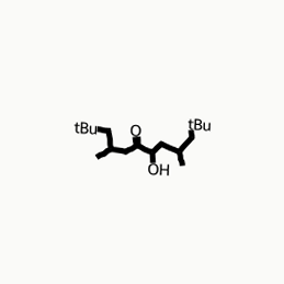 CC(CC(=O)C(O)CC(C)CC(C)(C)C)CC(C)(C)C